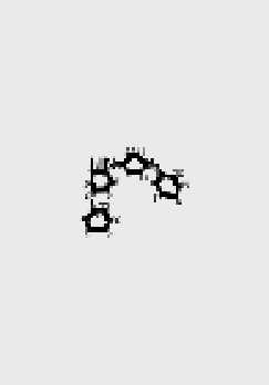 c1ccc(Sc2ccc(Nc3ccc(Sc4ccccc4)cc3)cc2)cc1